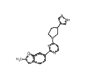 Cc1cc2ccc(-c3nccc(N4CCC(c5cn[nH]c5)C4)n3)cc2o1